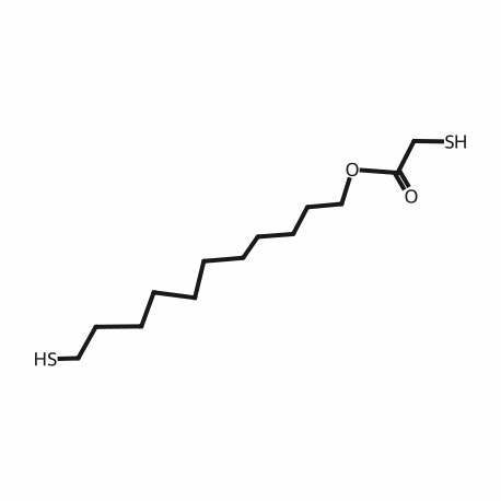 O=C(CS)OCCCCCCCCCCCS